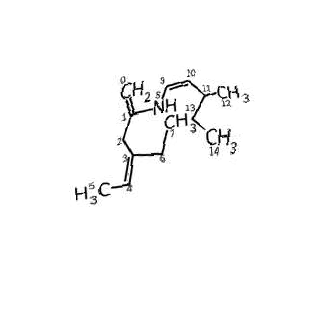 C=C(C/C(=C\C)CC)N/C=C\C(C)CC